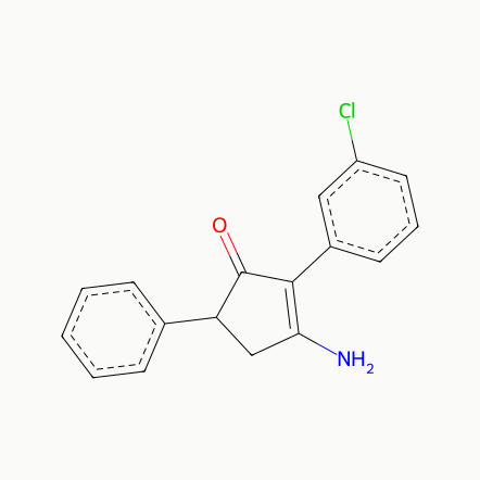 NC1=C(c2cccc(Cl)c2)C(=O)C(c2ccccc2)C1